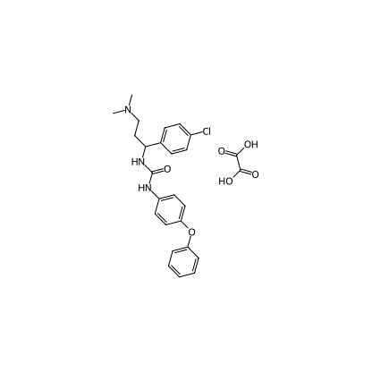 CN(C)CCC(NC(=O)Nc1ccc(Oc2ccccc2)cc1)c1ccc(Cl)cc1.O=C(O)C(=O)O